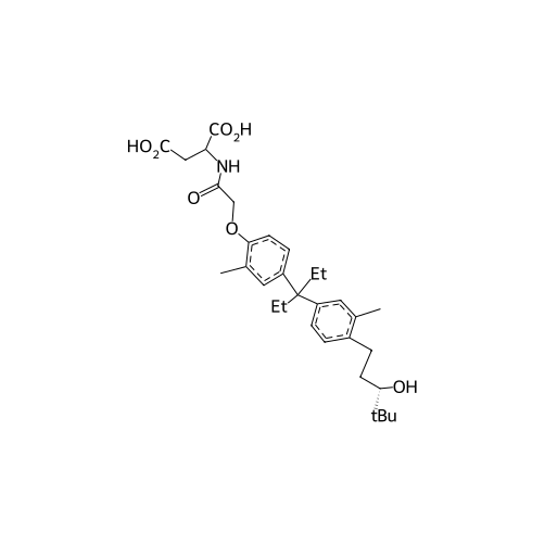 CCC(CC)(c1ccc(CC[C@H](O)C(C)(C)C)c(C)c1)c1ccc(OCC(=O)NC(CC(=O)O)C(=O)O)c(C)c1